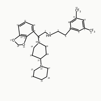 FC(F)(F)c1cc(CCNCC(c2cccc3c2OCO3)N2CCC(N3CCCCC3)CC2)cc(C(F)(F)F)c1